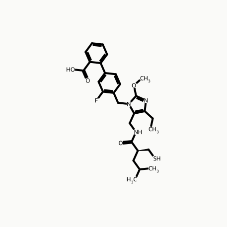 CCc1nc(OC)n(Cc2ccc(-c3ccccc3C(=O)O)cc2F)c1CNC(=O)[C@@H](CS)CC(C)C